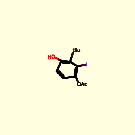 CC(=O)Oc1ccc(O)c(C(C)(C)C)c1I